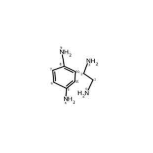 NCCN.Nc1ccc(N)cc1